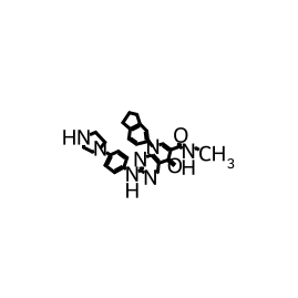 CCNC(=O)c1cn(-c2ccc3c(c2)CCC3)c2nc(Nc3ccc(N4CCNCC4)cc3)ncc2c1=O